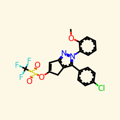 COc1ccccc1-n1nc2c(c1-c1ccc(Cl)cc1)CC(OS(=O)(=O)C(F)(F)F)=C2